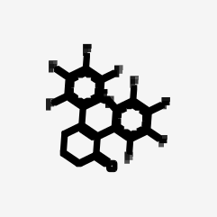 O=C1CCCC(c2c(F)c(F)c(F)c(F)c2F)=C1c1c(F)c(F)c(F)c(F)c1F